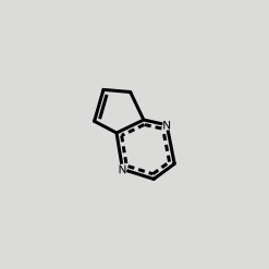 C1=Cc2nccnc2C1